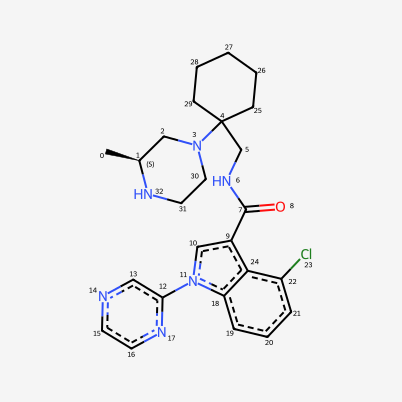 C[C@H]1CN(C2(CNC(=O)c3cn(-c4cnccn4)c4cccc(Cl)c34)CCCCC2)CCN1